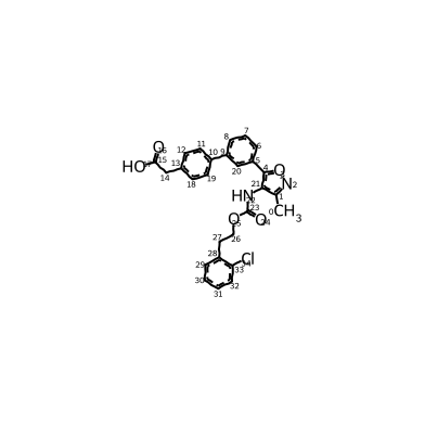 Cc1noc(-c2cccc(-c3ccc(CC(=O)O)cc3)c2)c1NC(=O)OCCc1ccccc1Cl